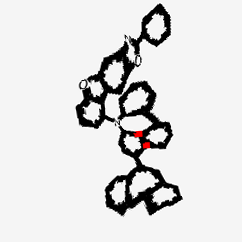 c1ccc(-c2nc3cc4oc5cccc(N(c6ccc(-c7cc8ccccc8c8ccccc78)cc6)c6ccccc6-c6ccccc6)c5c4cc3o2)cc1